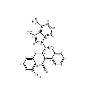 Cc1cccnc1-n1c(Cn2nc(Cl)c3c(N)ncnc32)cc2cccc(C)c2c1=O